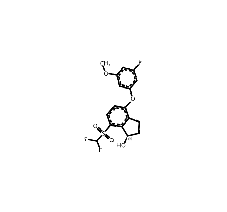 COc1cc(F)cc(Oc2ccc(S(=O)(=O)C(F)F)c3c2CC[C@H]3O)c1